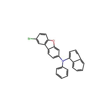 Brc1ccc2oc3cc(N(c4ccccc4)c4cccc5ccccc45)ccc3c2c1